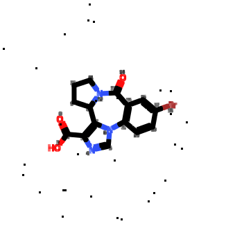 O=C(O)c1ncn2c1C1CCCN1C(=O)c1cc(Br)ccc1-2